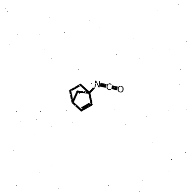 O=C=NC12C=CC(CC1)C2